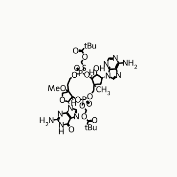 COC12CCOP(=O)(SCOC(=O)C(C)(C)C)O[C@H]3[C@@H](O)[C@H](n4cnc5c(N)ncnc54)C[C@]3(C)COP(=O)(OCOC(=O)C(C)(C)C)O[C@H]1[C@H](n1cnc3c(=O)[nH]c(N)nc31)OC2